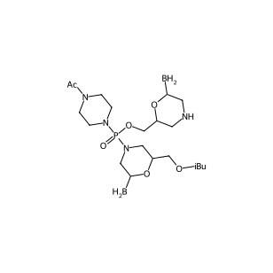 BC1CNCC(COP(=O)(N2CCN(C(C)=O)CC2)N2CC(B)OC(COC(C)CC)C2)O1